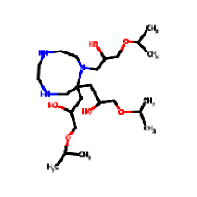 CC(C)OCC(O)CN1CCNCCNCC1(CC(O)COC(C)C)CC(O)COC(C)C